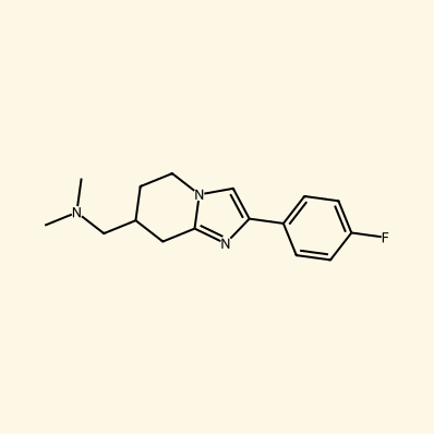 CN(C)CC1CCn2cc(-c3ccc(F)cc3)nc2C1